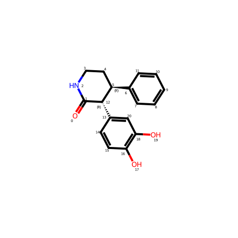 O=C1NCC[C@@H](c2ccccc2)[C@@H]1c1ccc(O)c(O)c1